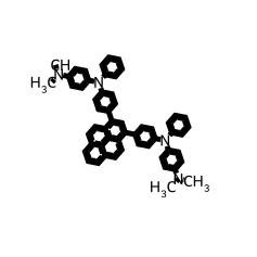 CN(C)c1ccc(N(c2ccccc2)c2ccc(-c3cc(-c4ccc(N(c5ccccc5)c5ccc(N(C)C)cc5)cc4)c4ccc5cccc6ccc3c4c65)cc2)cc1